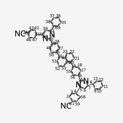 N#Cc1ccc(-c2cc(-c3ccccc3)nc(-c3ccc(-c4cccc5c(-c6ccc(-c7nc(-c8ccccc8)cc(-c8ccc(C#N)cc8)n7)cc6)cccc45)cc3)n2)cc1